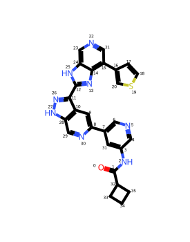 O=C(Nc1cncc(-c2cc3c(-c4nc5c(-c6ccsc6)cncc5[nH]4)n[nH]c3cn2)c1)C1CCC1